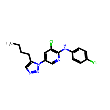 CCCCc1cnnn1-c1cnc(Nc2ccc(Cl)cc2)c(Cl)c1